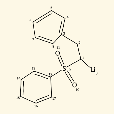 [Li][CH](Cc1ccccc1)S(=O)(=O)c1ccccc1